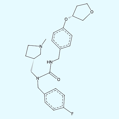 CN1CC[C@@H](CN(Cc2ccc(F)cc2)C(=O)NCc2ccc(O[C@@H]3CCOC3)cc2)C1